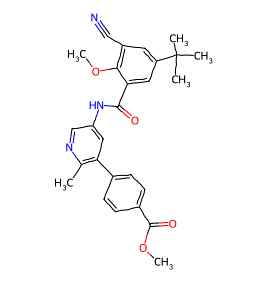 COC(=O)c1ccc(-c2cc(NC(=O)c3cc(C(C)(C)C)cc(C#N)c3OC)cnc2C)cc1